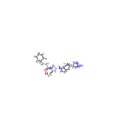 C[C@@H]1C[C@@H](Cn2ccc3cc(-c4cn[nH]c4)ncc32)CN1C(=O)CCc1ccccc1